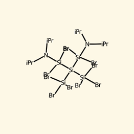 CC(C)N(C(C)C)[Si](Br)(Br)[Si]([Si](Br)(Br)Br)([Si](Br)(Br)Br)[Si](Br)(Br)N(C(C)C)C(C)C